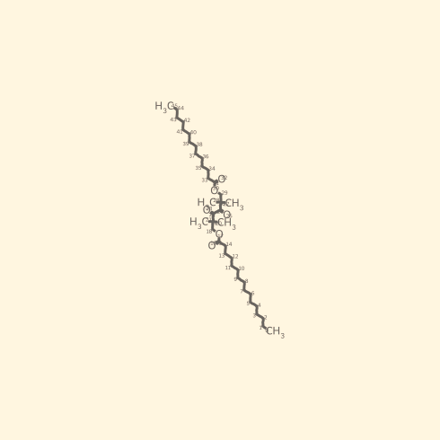 CCCCCCCCCCCCCCCC(=O)OCC(C)(C)C(=O)C(=O)C(C)(C)COC(=O)CCCCCCCCCCCCC